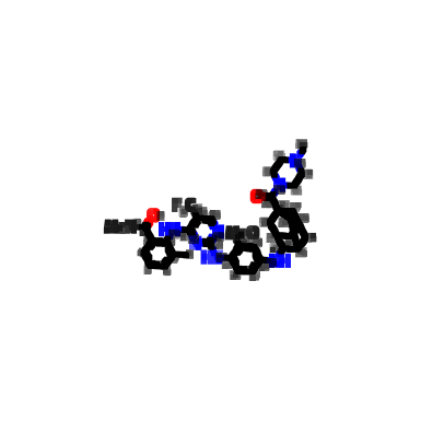 CNC(=O)c1cccc(C)c1Nc1nc(Nc2ccc(NC3C4CC5CC3CC(C(=O)N3CCN(C)CC3)(C5)C4)cc2OC)ncc1C(F)(F)F